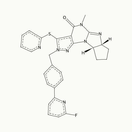 CN1C(=O)c2c(nn(Cc3ccc(-c4cccc(F)n4)cc3)c2Sc2ccccn2)N2C1=N[C@@H]1CCC[C@@H]12